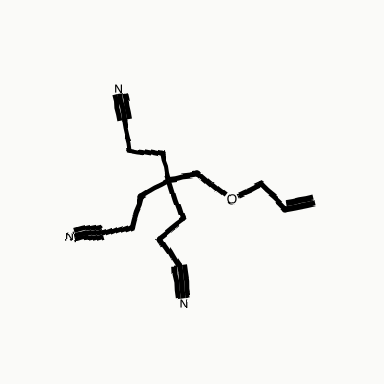 C=CCOCC(CCC#N)(CCC#N)CCC#N